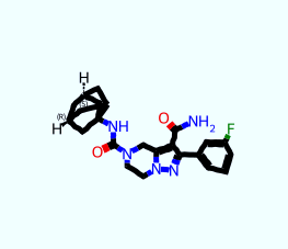 NC(=O)c1c(-c2cccc(F)c2)nn2c1CN(C(=O)NC13C[C@@H]4CC1C[C@@H](C4)C3)CC2